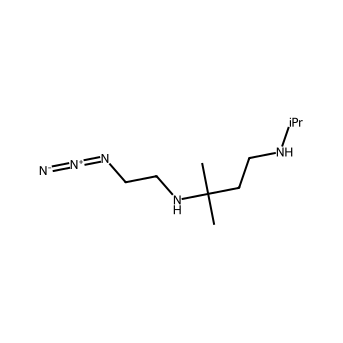 CC(C)NCCC(C)(C)NCCN=[N+]=[N-]